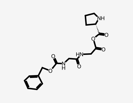 O=C(CNC(=O)OCc1ccccc1)NCC(=O)OC(=O)[C@@H]1CCCN1